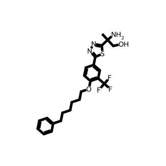 CC(N)(CO)c1nnc(-c2ccc(OCCCCCCc3ccccc3)c(C(F)(F)F)c2)s1